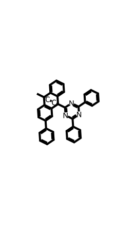 CC12CCC(c3nc(-c4ccccc4)nc(-c4ccccc4)n3)(c3ccccc31)c1cc(-c3ccccc3)ccc12